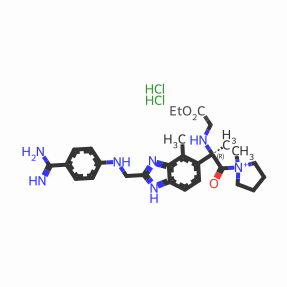 CCOC(=O)CN[C@@](C)(C(=O)[N+]1(C)CCCC1)c1ccc2[nH]c(CNc3ccc(C(=N)N)cc3)nc2c1C.Cl.Cl